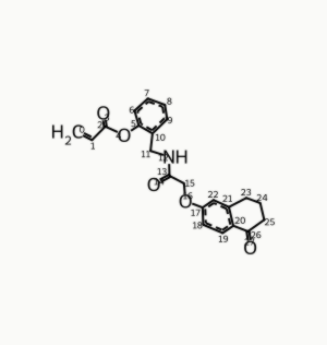 C=CC(=O)Oc1ccccc1CNC(=O)COc1ccc2c(c1)CCCC2=O